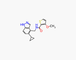 COc1ccsc1C(=O)NCc1c(C2CC2)ccc2[nH]ncc12